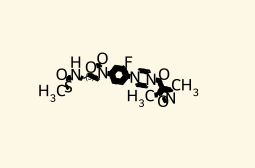 CSC(=O)NC[C@H]1CN(c2ccc(N3CCN(C(=O)c4c(C)noc4C)CC3)c(F)c2)C(=O)O1